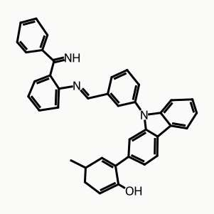 CC1C=C(c2ccc3c4ccccc4n(-c4cccc(/C=N/c5ccccc5C(=N)c5ccccc5)c4)c3c2)C(O)=CC1